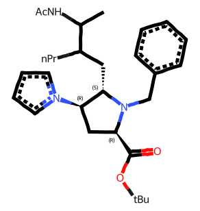 CCCC(C[C@H]1[C@H](n2cccc2)C[C@H](C(=O)OC(C)(C)C)N1Cc1ccccc1)C(C)NC(C)=O